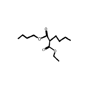 CCCCOC(=O)C(CCCC)C(=O)OCC